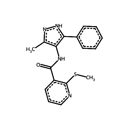 CSc1ncccc1C(=O)Nc1c(C)n[nH]c1-c1ccccc1